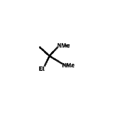 [CH2]CC(C)(NC)NC